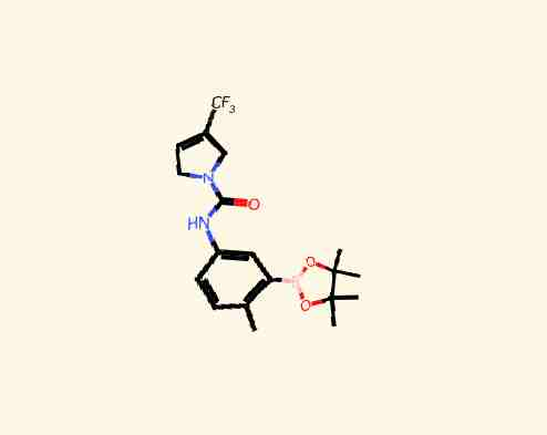 Cc1ccc(NC(=O)N2CC=C(C(F)(F)F)C2)cc1B1OC(C)(C)C(C)(C)O1